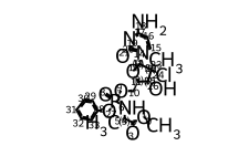 COC(=O)[C@H](C)NP(=O)(OC[C@H]1O[C@@H](n2ccc(N)nc2=O)[C@](C)(Cl)[C@@H]1O)Oc1ccccc1